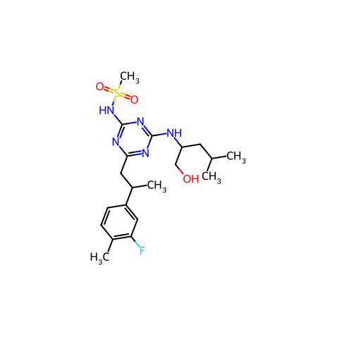 Cc1ccc(C(C)Cc2nc(NC(CO)CC(C)C)nc(NS(C)(=O)=O)n2)cc1F